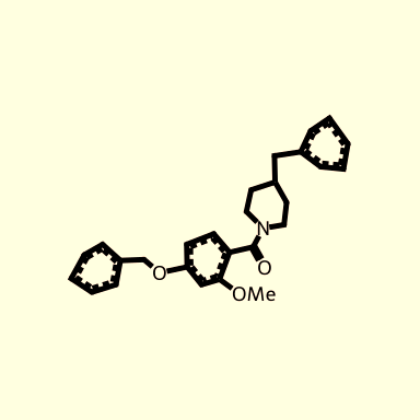 COc1cc(OCc2ccccc2)ccc1C(=O)N1CCC(Cc2ccccc2)CC1